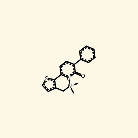 C[N+]1(C)Cc2ccsc2-c2ccc(-c3ccccc3)c(=O)n21